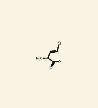 CCC=CC(C)C(=O)[S]